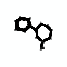 CCC(C)N1CCCCC(c2ccccc2)C1